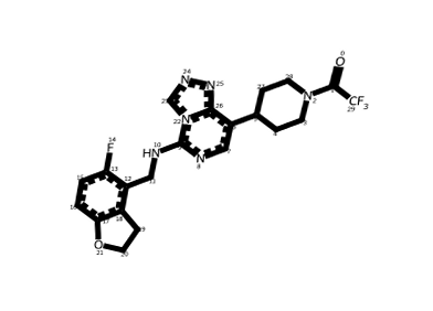 O=C(N1CCC(c2cnc(NCc3c(F)ccc4c3CCO4)n3cnnc23)CC1)C(F)(F)F